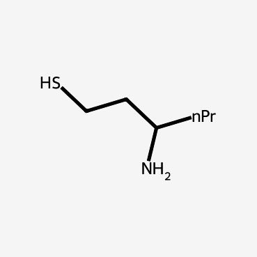 CCCC(N)CCS